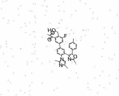 Cc1ccc(-c2oc(C)nc2-c2cc(-c3cc(F)c(CO)c(S(C)(=O)=O)c3)ccc2-n2cc(C)nc2C)cc1